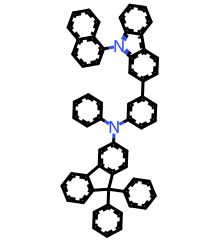 c1ccc(N(c2cccc(-c3ccc4c5ccccc5n(-c5cccc6ccccc56)c4c3)c2)c2ccc3c(c2)-c2ccccc2C3(c2ccccc2)c2ccccc2)cc1